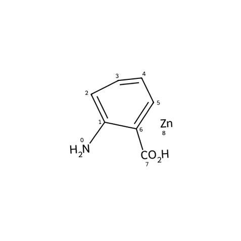 Nc1ccccc1C(=O)O.[Zn]